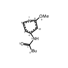 CCC(C)C(=O)Nc1ccnc(OC)c1